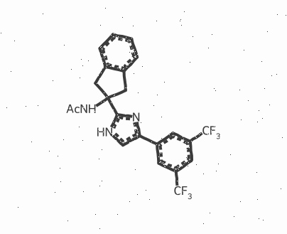 CC(=O)NC1(c2nc(-c3cc(C(F)(F)F)cc(C(F)(F)F)c3)c[nH]2)Cc2ccccc2C1